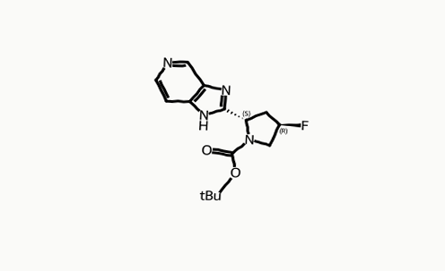 CC(C)(C)OC(=O)N1C[C@H](F)C[C@H]1c1nc2cnccc2[nH]1